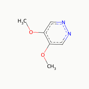 COc1cnncc1OC